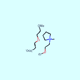 CCOCC[N+]1(C)CCCC1.COCCOCCC(=O)[O-]